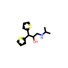 CC(C)NCC(O)C(c1cccs1)c1cccs1